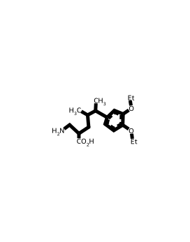 CCOc1ccc(C(C)C(C)CC(CN)C(=O)O)cc1OCC